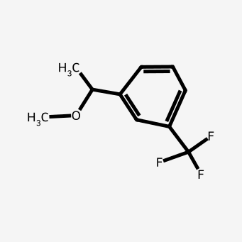 COC(C)c1cccc(C(F)(F)F)c1